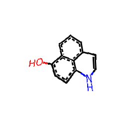 Oc1ccc2c3c(cccc13)C=CN2